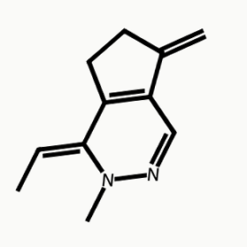 C=C1CCC2=C1C=NN(C)/C2=C\C